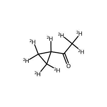 [2H]C([2H])([2H])C(=O)C1([2H])C([2H])([2H])C1([2H])[2H]